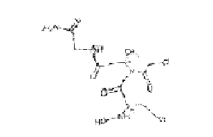 CC(C)C[C@H](NO)C(=O)N(C(=O)CCl)[C@@H](C)C(=O)NCC(N)=O